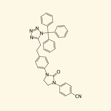 N#Cc1ccc(N2CCN(c3ccc(CCc4nnnn4C(c4ccccc4)(c4ccccc4)c4ccccc4)cc3)C2=O)cc1